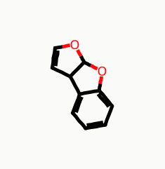 C1=CC2c3ccccc3OC2O1